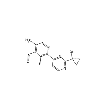 Cc1cnc(-c2ccnc(C3(O)CC3)n2)c(F)c1C=O